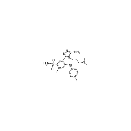 CN(C)CCCn1c(N)nnc1-c1cc(S(N)(=O)=O)c(F)cc1Nc1ccc(I)cc1